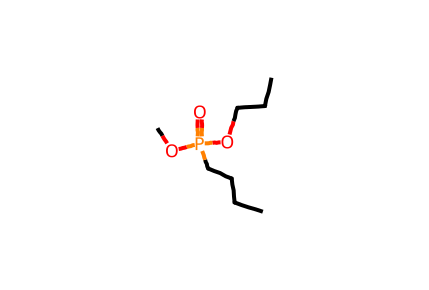 CCCCP(=O)(OC)OCCC